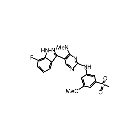 CNc1nc(Nc2cc(OC)cc(S(C)(=O)=O)c2)ncc1-c1n[nH]c2c(F)cccc12